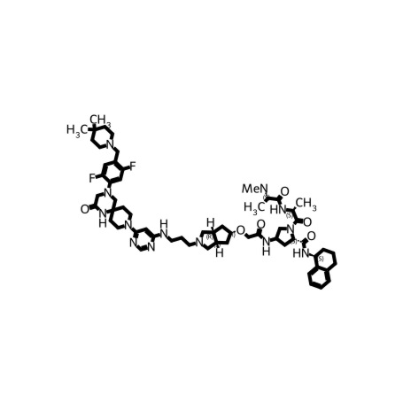 CN[C@@H](C)C(=O)N[C@@H](C)C(=O)N1CC(NC(=O)CO[C@@H]2C[C@@H]3CN(CCCNc4cc(N5CCC6(CC5)CN(c5cc(F)c(CN7CCC(C)(C)CC7)cc5F)CC(=O)N6)ncn4)C[C@@H]3C2)C[C@H]1C(=O)N[C@H]1CCCc2ccccc21